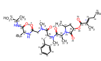 CCC(C)[C@H](NC(=O)CN(C)C(=O)[C@@H](Cc1ccccc1)N(C)C(=O)[C@H](C)N1C(=O)[C@H](OC(=O)/C(C)=C/CC(C)(C)C)CC1C)C(=O)N[C@H](C)C(=O)O